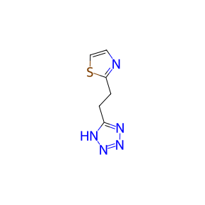 c1csc(CCc2nnn[nH]2)n1